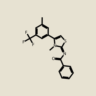 Cc1cc(-c2cs/c(=N/C(=O)c3ccccc3)n2C)cc(C(F)(F)F)c1